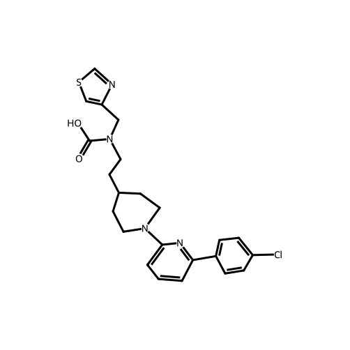 O=C(O)N(CCC1CCN(c2cccc(-c3ccc(Cl)cc3)n2)CC1)Cc1cscn1